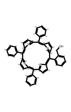 OCc1ccccc1C1=C2C=CC(=N2)C(c2ccccc2)=C2C=CC(=N2)C(c2ccccc2)=C2C=CC(=N2)C(c2ccccc2)=C2C=CC1=N2